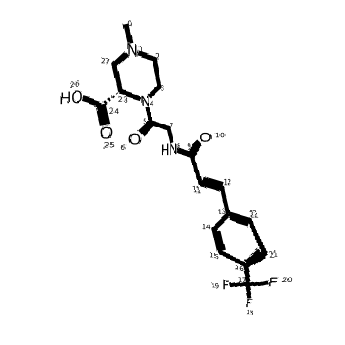 CN1CCN(C(=O)CNC(=O)/C=C/c2ccc(C(F)(F)F)cc2)[C@H](C(=O)O)C1